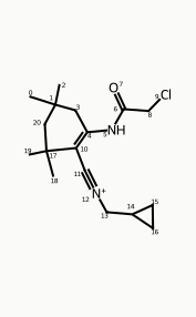 CC1(C)CC(NC(=O)CCl)=C(C#[N+]CC2CC2)C(C)(C)C1